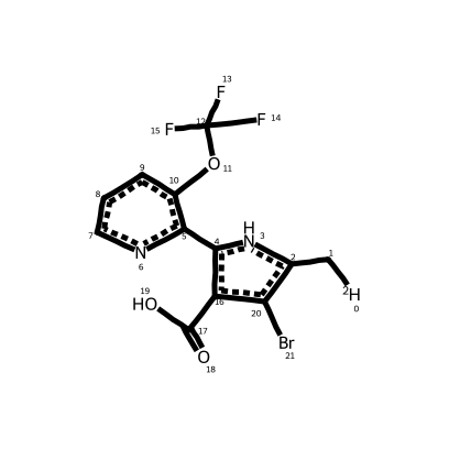 [2H]Cc1[nH]c(-c2ncccc2OC(F)(F)F)c(C(=O)O)c1Br